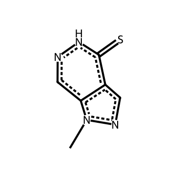 Cn1ncc2c(=S)[nH]ncc21